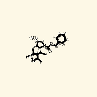 Cc1n[nH]c(C)c1C(C)[C@@H]1C[C@H](O)CN1C(=O)OCc1ccccc1